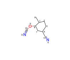 CC1CCC(C#N)CC1OC#N